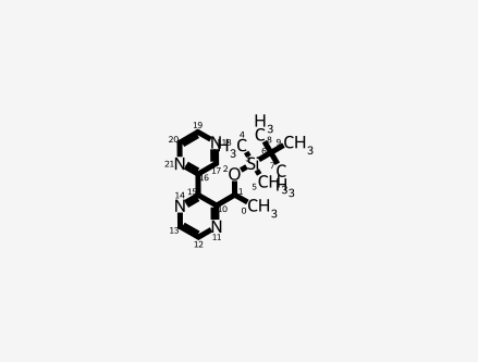 CC(O[Si](C)(C)C(C)(C)C)c1nccnc1-c1cnccn1